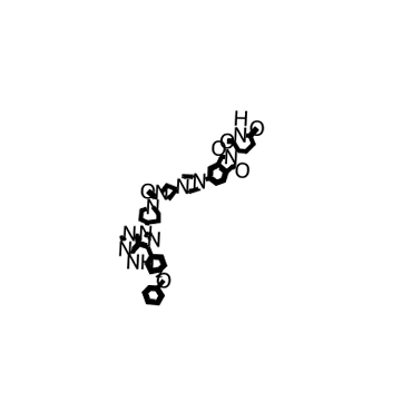 Nc1ncnc2c1c(-c1ccc(Oc3ccccc3)cc1)nn2C1CCN(C(=O)N2CC(N3CCN(c4ccc5c(c4)C(=O)N(C4CCC(=O)NC4=O)C5=O)CC3)C2)CC1